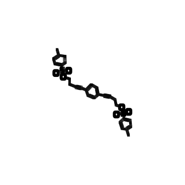 Cc1ccc(S(=O)(=O)OCCC#Cc2ccc(C#CCCOS(=O)(=O)c3ccc(C)cc3)cc2)cc1